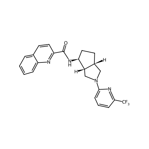 O=C(N[C@H]1CC[C@@H]2CN(c3cccc(C(F)(F)F)n3)C[C@@H]21)c1ccc2ccccc2n1